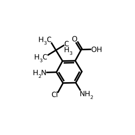 CC(C)(C)c1c(C(=O)O)cc(N)c(Cl)c1N